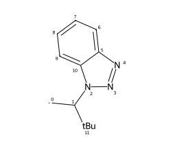 [CH2]C(n1nnc2ccccc21)C(C)(C)C